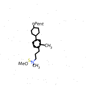 CCCCCC1CCC(c2ccc(CCCN(C)SOC)c(C)c2)CC1